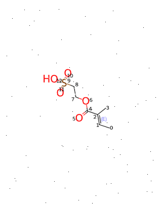 C/C=C(\C)C(=O)OCCS(=O)(=O)O